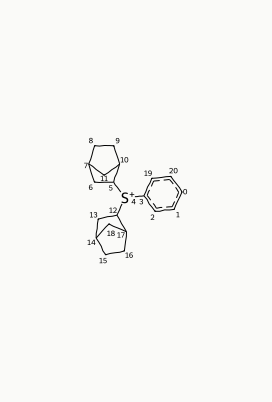 c1ccc([S+](C2CC3CCC2C3)C2CC3CCC2C3)cc1